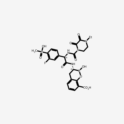 CCN1CCN(C(=O)N[C@@H](C(=O)N[C@H]2Cc3cccc(C(=O)O)c3OB2O)c2ccc(P(C)(=O)O)c(F)c2)C(=O)C1=O